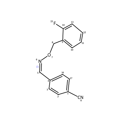 N#Cc1ccc(/[C]=N\OCc2ccccc2F)cc1